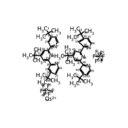 CC(C)(C)c1ccnc(-c2cc(C(C)(C)C)cc(-c3cc(C(C)(C)C)ccn3)n2)c1.CC(C)(C)c1ccnc(-c2cc(C(C)(C)C)cc(-c3cc(C(C)(C)C)ccn3)n2)c1.F[P-](F)(F)(F)(F)F.F[P-](F)(F)(F)(F)F.[Os+2]